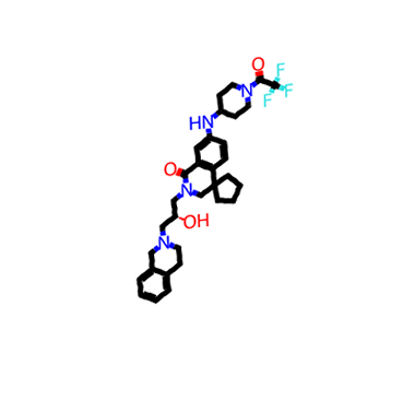 O=C1c2cc(NC3CCN(C(=O)C(F)(F)F)CC3)ccc2C2(CCCC2)CN1C[C@H](O)CN1CCc2ccccc2C1